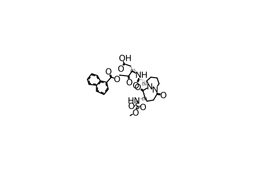 COS(=O)(=O)N[C@H]1CCC(=O)N2CCC[C@@H](C(=O)N[C@@H](CC(=O)O)C(=O)COC(=O)c3cccc4ccccc34)N2C1=O